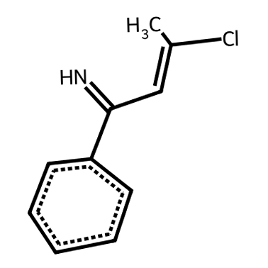 C/C(Cl)=C\C(=N)c1ccccc1